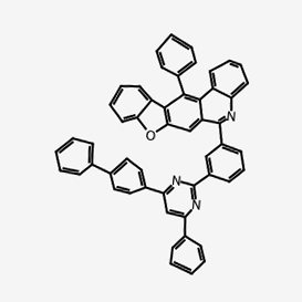 c1ccc(-c2ccc(-c3cc(-c4ccccc4)nc(-c4cccc(-c5nc6ccccc6c6c(-c7ccccc7)c7c(cc56)oc5ccccc57)c4)n3)cc2)cc1